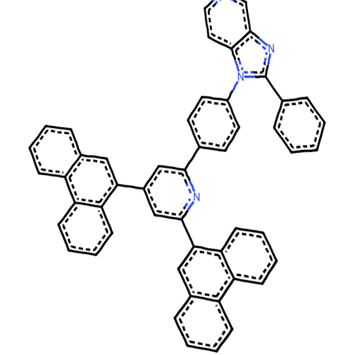 c1ccc(-c2nc3cnccc3n2-c2ccc(-c3cc(-c4cc5ccccc5c5ccccc45)cc(-c4cc5ccccc5c5ccccc45)n3)cc2)cc1